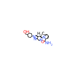 CC1=CC=CC(C(N)=O)N1c1cc2cn(C3CCC(CO)CC3)nc2cn1